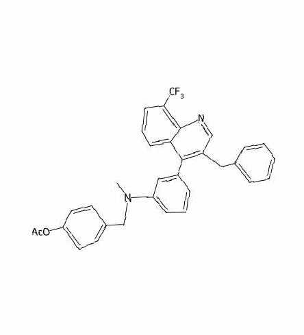 CC(=O)Oc1ccc(CN(C)c2cccc(-c3c(Cc4ccccc4)cnc4c(C(F)(F)F)cccc34)c2)cc1